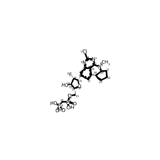 CN(c1nc(Cl)nc2cc([C@@H]3O[C@H](COP(=O)(O)CP(=O)(O)O)[C@@H](O)[C@@H]3F)ccc12)C1CCCC1